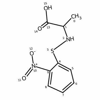 CC(NSc1ccccc1[N+](=O)[O-])C(=O)O